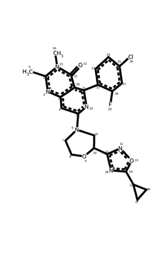 Cc1nc2cc(N3CCOC(c4noc(C5CC5)n4)C3)nc(-c3ccc(Cl)cc3F)c2c(=O)n1C